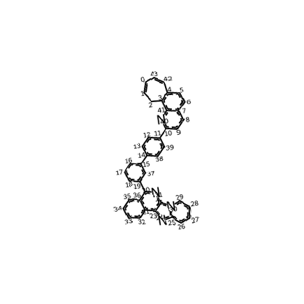 C1=CCc2c(ccc3ccc(-c4ccc(-c5cccc(-c6nc7c(nc8ccccn87)c7ccccc67)c5)cc4)nc23)C=C1